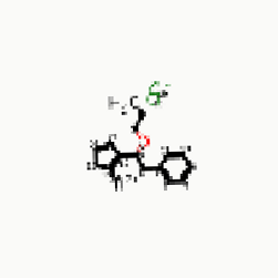 CCCOC(Cc1ccccc1)C1=[C]([Ti+2])CC=C1.[Cl-].[Cl-]